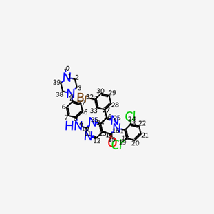 CN1CCN(c2ccc(Nc3ncc4c(=O)n(-c5c(Cl)cccc5Cl)nc(-c5cccc(Br)c5)c4n3)cc2)CC1